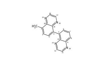 Cc1ccc(-c2cccc3nccnc23)c2nccnc12